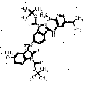 COc1ccc2c(c1)[C@]1(C[C@H]1c1ccc3c(Nc4cc(C(C)C)nnc4OC)nn(C(=O)OC(C)(C)C)c3c1)C(=O)N2C(=O)OC(C)(C)C